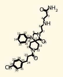 NC(=O)CCNCCN1CN(c2ccccc2)C2(CCN(C(=O)[CH]Cc3ccc(Cl)cc3)CC2)C1=O